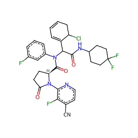 N#Cc1ccnc(N2C(=O)CC[C@H]2C(=O)N(c2cccc(F)c2)C(C(=O)NC2CCC(F)(F)CC2)C2=CC=CCC2Cl)c1F